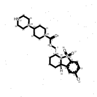 O=C(OC[C@H]1CCC[C@H]2c3cc(Cl)ccc3S(=O)(=O)N12)N1CCC(N2CCNCC2)CC1